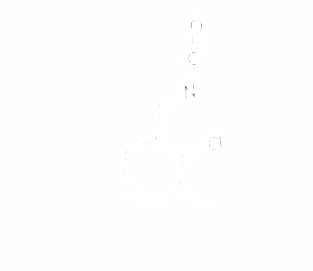 CC1CCCC(CN=C=O)C1Cl